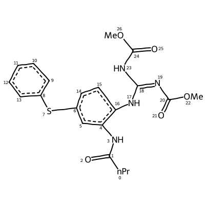 CCCC(=O)Nc1cc(Sc2ccccc2)ccc1NC(=NC(=O)OC)NC(=O)OC